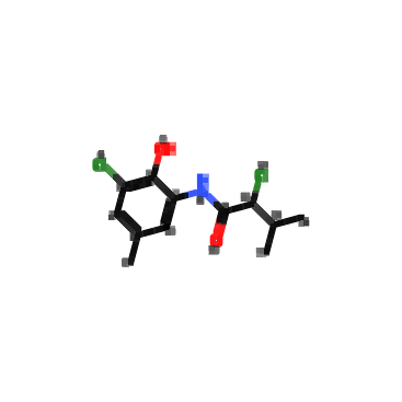 Cc1cc(Cl)c(O)c(NC(=O)C(Cl)C(C)C)c1